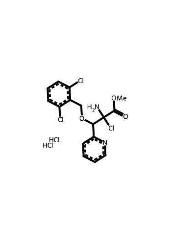 COC(=O)C(N)(Cl)C(OCc1c(Cl)cccc1Cl)c1ccccn1.Cl.Cl